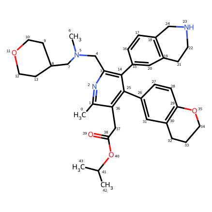 Cc1nc(CN(C)CC2CCOCC2)c(-c2ccc3c(c2)CCNC3)c(-c2ccc3c(c2)CCCO3)c1CC(=O)OC(C)C